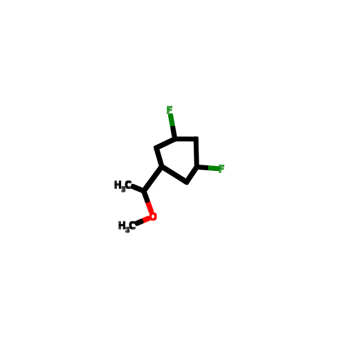 COC(C)C1CC(F)CC(F)C1